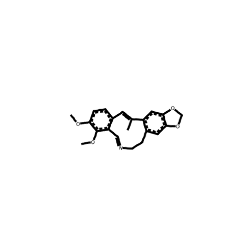 COc1ccc2c(c1OC)/C=N/CCc1cc3c(cc1/C(C)=C/2)OCO3